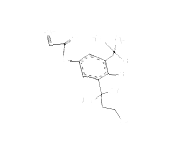 C=CC(=O)Oc1cc(C(C)(C)C)c(O)c(C(C)(C)CCC)c1